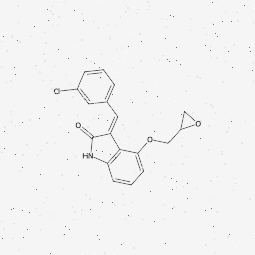 O=C1Nc2cccc(OCC3CO3)c2C1=Cc1cccc(Cl)c1